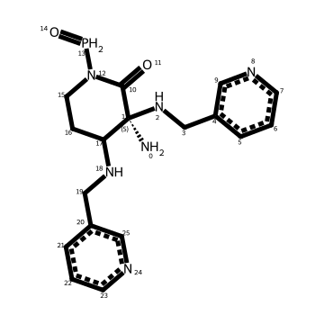 N[C@@]1(NCc2cccnc2)C(=O)N([PH2]=O)CCC1NCc1cccnc1